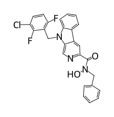 O=C(c1cc2c3ccccc3n(Cc3c(F)ccc(Cl)c3F)c2cn1)N(O)Cc1ccccc1